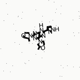 CC1CN(c2nc(N3CCOCC3C)nc3[nH]c(-c4cc[nH]n4)nc23)CCO1